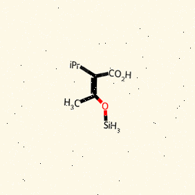 CC(O[SiH3])=C(C(=O)O)C(C)C